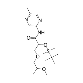 COC(C)COCC(O[Si](C)(C)C(C)(C)C)C(=O)Nc1cnc(C)cn1